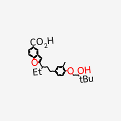 CCC(CCc1ccc(OCC(O)C(C)(C)C)c(C)c1)c1cc2cc(C(=O)O)ccc2o1